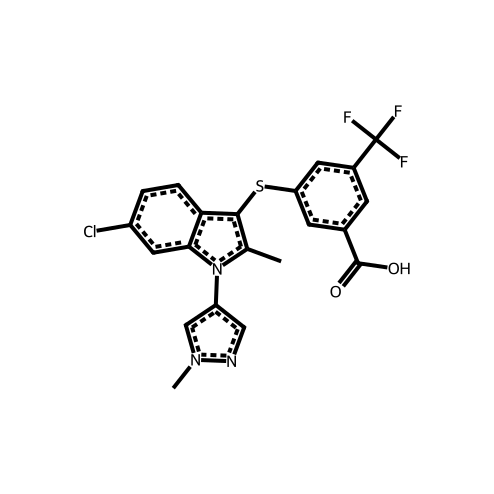 Cc1c(Sc2cc(C(=O)O)cc(C(F)(F)F)c2)c2ccc(Cl)cc2n1-c1cnn(C)c1